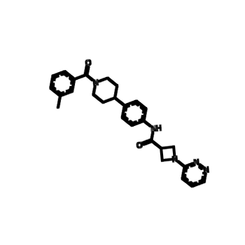 Cc1cccc(C(=O)N2CCC(c3ccc(NC(=O)C4CN(c5cccnn5)C4)cc3)CC2)c1